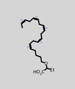 C/C=C\C/C=C\C/C=C\C/C=C\C/C=C\CCCCOC(CC)C(=O)O